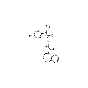 O=C(NCCC(=O)N(c1ccc(F)cc1)C1CC1)N1CCCCc2ccccc21